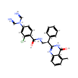 Cc1cccc2nc([C@@H](CNC(=O)c3ccc(N(C=N)C=N)cc3Cl)c3ccccc3)[nH]c(=O)c12